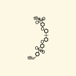 CC(C)(C)Cc1ccc(N2C(=O)c3ccc(Oc4cccc(C(C)(C)c5cccc(Oc6ccc7c(c6)C(=O)N(C(C)(C)C)C7=O)c5)c4)cc3C2=O)cc1